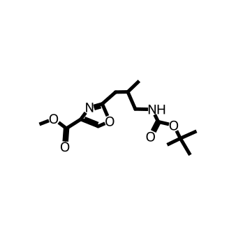 COC(=O)c1coc(CC(C)CNC(=O)OC(C)(C)C)n1